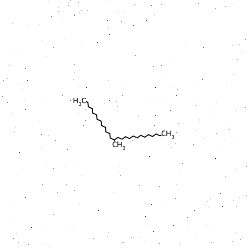 CCCCCCCCCCCCCC(C)CCCCCCCCCCCCC